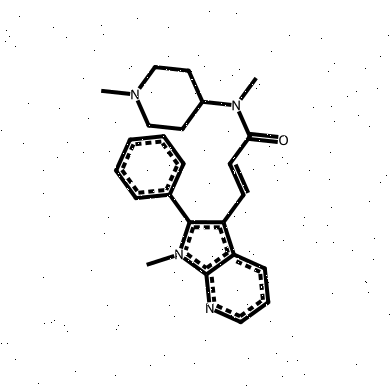 CN1CCC(N(C)C(=O)C=Cc2c(-c3ccccc3)n(C)c3ncccc23)CC1